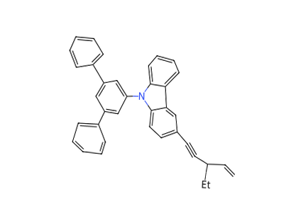 C=CC(C#Cc1ccc2c(c1)c1ccccc1n2-c1cc(-c2ccccc2)cc(-c2ccccc2)c1)CC